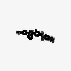 C[C@H]1CN(C(=O)Nc2ccc(OC(F)(F)F)cc2)CCN1c1nnc(-c2ccc(N)cc2)c2ccccc12